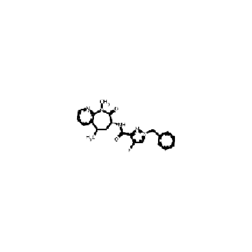 CC1C[C@H](NC(=O)c2nn(Cc3ccccc3)cc2F)C(=O)N(C)c2ncccc21